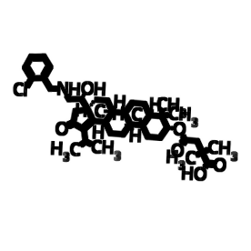 CC(C)C1=C2[C@H]3CC[C@H]4[C@@H](CC[C@H]5C(C)(C)[C@@H](OC(=O)CC(C)(C)C(=O)O)CC[C@]45C)[C@]3(C)CC[C@@]2([C@@H](O)CNCc2ccccc2Cl)CC1=O